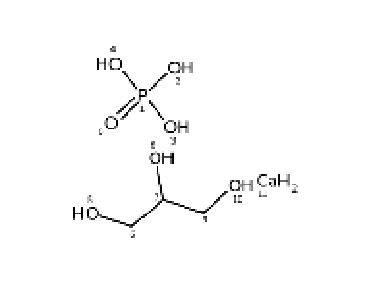 O=P(O)(O)O.OCC(O)CO.[CaH2]